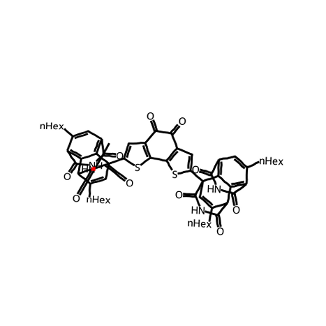 CCCCCCC1=CC2(c3cc4c(s3)-c3sc(C56C=C(CCCCCC)C(C(=O)NC5=O)c5c6c6cc(CCCCCC)c5c(=O)[nH]c6=O)cc3C(=O)C4=O)C(=O)NC(=O)C1c1c2c2cc(CCCCCC)c1c(=O)[nH]c2=O